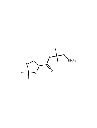 CC(=O)NCC(C)(C)SC(=O)C1COC(C)(C)O1